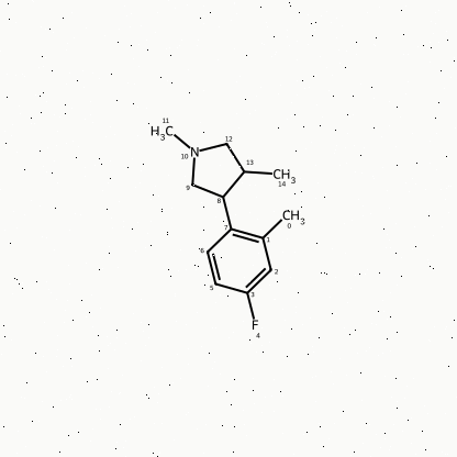 Cc1cc(F)ccc1C1CN(C)CC1C